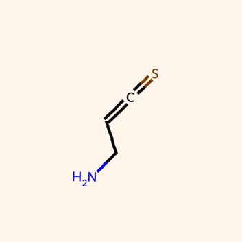 NCC=C=S